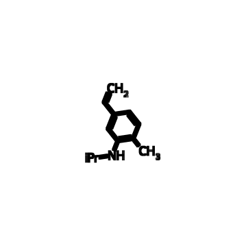 C=Cc1ccc(C)c(NC(C)C)c1